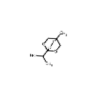 CC(O)C12OCC(C)(CO1)CO2